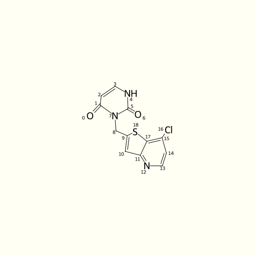 O=c1cc[nH]c(=O)n1Cc1cc2nccc(Cl)c2s1